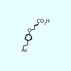 CC(=O)CCc1ccc(OCC=CC(=O)O)cc1